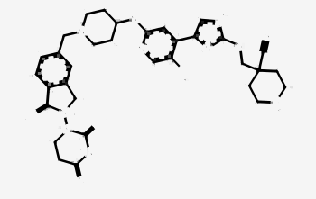 N#CC1(CNc2nc(-c3cc(NC4CCN(Cc5ccc6c(c5)CN(N5CCC(=O)NC5=O)C6=O)CC4)ncc3Cl)cs2)CCOCC1